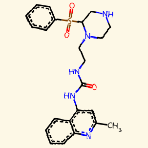 Cc1cc(NC(=O)NCCN2CCNCC2S(=O)(=O)c2ccccc2)c2ccccc2n1